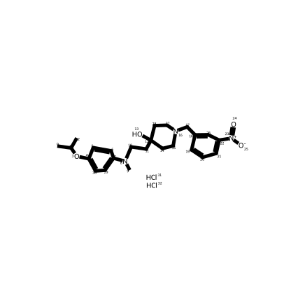 CC(C)Oc1ccc(N(C)CCC2(O)CCN(Cc3cccc([N+](=O)[O-])c3)CC2)cc1.Cl.Cl